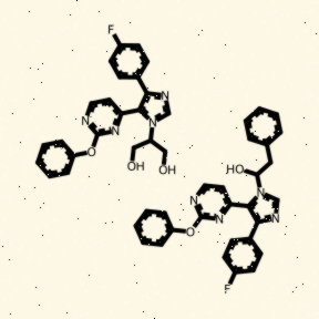 OC(Cc1ccccc1)n1cnc(-c2ccc(F)cc2)c1-c1ccnc(Oc2ccccc2)n1.OCC(CO)n1cnc(-c2ccc(F)cc2)c1-c1ccnc(Oc2ccccc2)n1